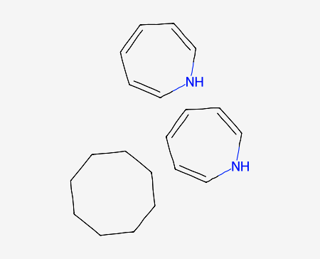 C1=CC=CNC=C1.C1=CC=CNC=C1.C1CCCCCCC1